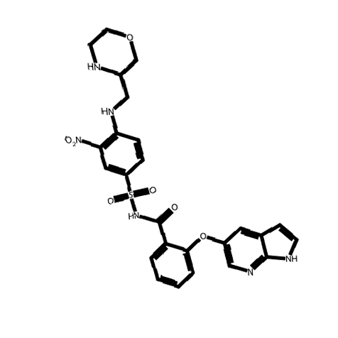 O=C(NS(=O)(=O)c1ccc(NCC2COCCN2)c([N+](=O)[O-])c1)c1ccccc1Oc1cnc2[nH]ccc2c1